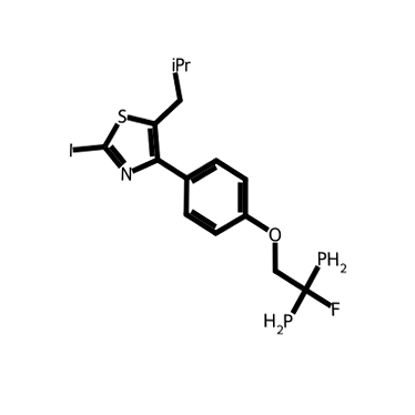 CC(C)Cc1sc(I)nc1-c1ccc(OCC(F)(P)P)cc1